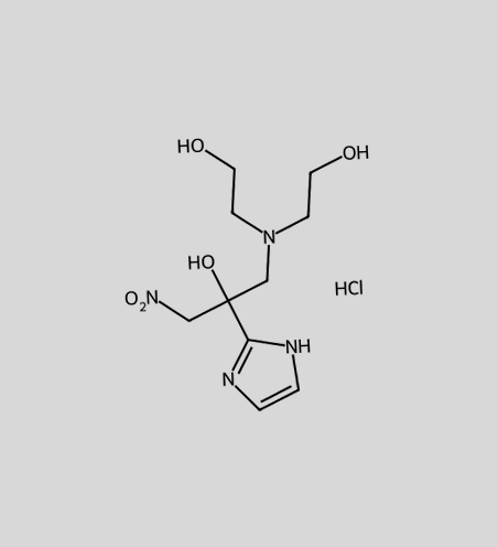 Cl.O=[N+]([O-])CC(O)(CN(CCO)CCO)c1ncc[nH]1